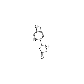 O=C1CNC(c2ccc(C(F)(F)F)cn2)C1